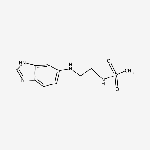 CS(=O)(=O)NCCNc1ccc2nc[nH]c2c1